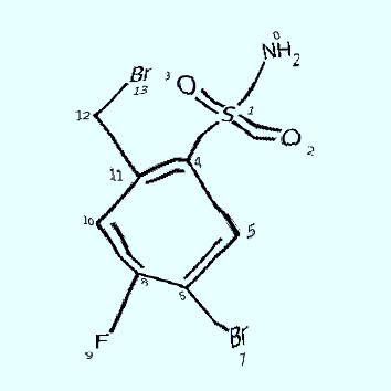 NS(=O)(=O)c1cc(Br)c(F)cc1CBr